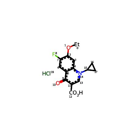 CCOc1cc2c(cc1F)c(=O)c(C(=O)O)cn2C1CC1.Cl